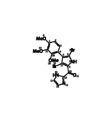 COc1ccc(-c2c(Br)[nH]c(C(=O)c3ncc[nH]3)c2Br)c(OC)c1OC